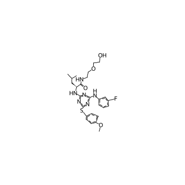 COc1ccc(Sc2nc(Nc3cccc(F)c3)nc(N[C@@H](CC(C)C)C(=O)NCCOCCO)n2)cc1